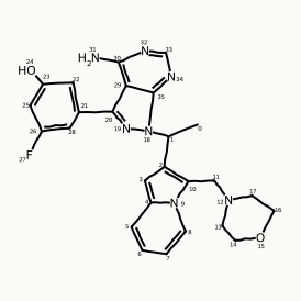 CC(c1cc2ccccn2c1CN1CCOCC1)n1nc(-c2cc(O)cc(F)c2)c2c(N)ncnc21